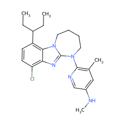 CCC(CC)c1ccc(Cl)c2nc3n(c12)CCCCN3c1ncc(NC)cc1C